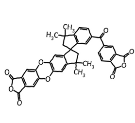 CC1(C)CC2(CC(C)(C)c3cc4oc5cc6c(=O)oc(=O)c6cc5oc4cc32)c2cc(C(=O)c3ccc4c(c3)C(=O)OC4=O)ccc21